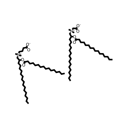 CCCCCCCCCCCCCCCCC(C[N+](C)(C)CC(=O)[O-])OC(=O)CCCCCCCCCCCCCCC.CCCCCCCCCCCCCCCCC(C[N+](C)(C)CCCC(=O)[O-])OC(=O)CCCCCCCCCCCCCCC